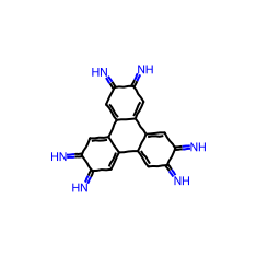 N=c1cc2c3cc(=N)c(=N)cc3c3cc(=N)c(=N)cc3c2cc1=N